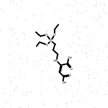 CCO[Si](CCCN/C(=C/C(=O)O)C(=O)O)(OCC)OCC